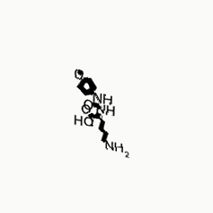 COc1ccc(NC(=O)N[C@@H](CCCCN)C(=O)O)cc1